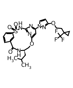 CC(C)C[C@@H]1COc2cc(-n3ccc(OCCC4(C(F)(F)F)CC4)n3)nc(n2)NS(=O)(=O)c2cccc(c2)C(=O)N1